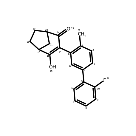 Cc1ccc(-c2ccccc2F)cc1C1=C(O)C2CCC(C2)C1=O